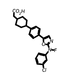 O=C(O)CC1CCC(c2ccc(-c3cnc(N(F)c4cccc(Cl)c4)o3)cc2)CC1